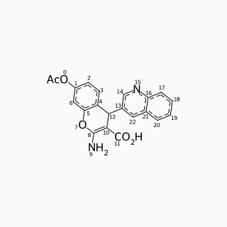 CC(=O)Oc1ccc2c(c1)OC(N)=C(C(=O)O)C2c1cnc2ccccc2c1